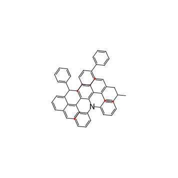 CC1C=Cc2c(ccc3ccc(-c4cccc5cccc(C(CC6C=CC(c7ccccc7)=CC6)c6ccccc6)c45)c(N(c4ccccc4)c4ccccc4)c23)C1